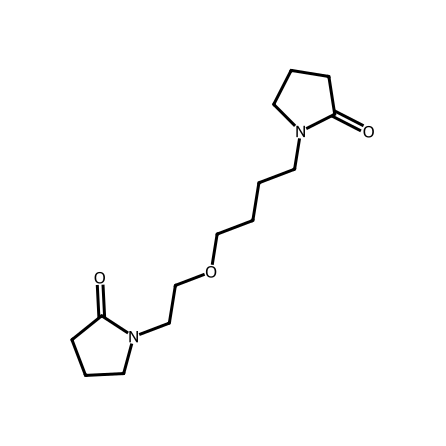 O=C1CCCN1CCCCOCCN1CCCC1=O